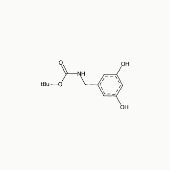 CC(C)(C)OC(=O)NCc1cc(O)cc(O)c1